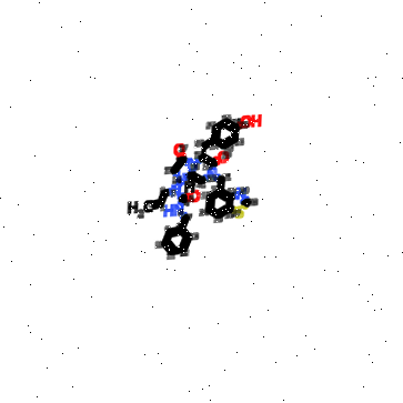 C=CCN(C(=O)NCc1ccccc1)N1CC(=O)N2[C@@H](Cc3ccc(O)cc3)C(=O)N(Cc3cccc4scnc34)C[C@@H]21